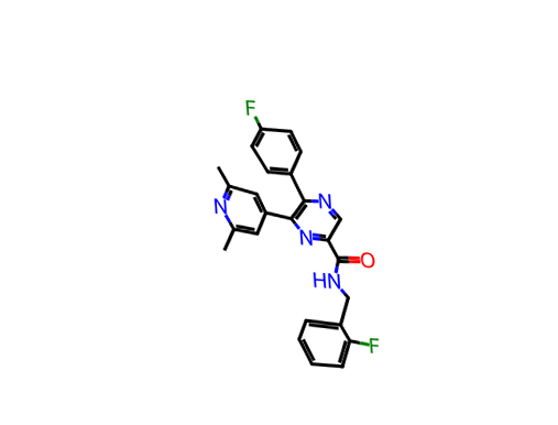 Cc1cc(-c2nc(C(=O)NCc3ccccc3F)cnc2-c2ccc(F)cc2)cc(C)n1